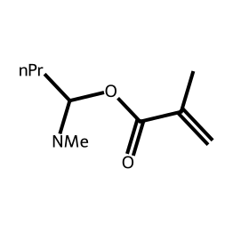 C=C(C)C(=O)OC(CCC)NC